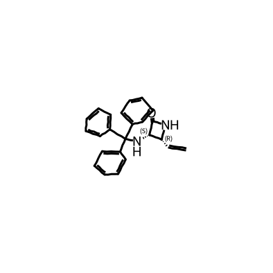 C=C[C@H]1NC(=O)[C@H]1NC(c1ccccc1)(c1ccccc1)c1ccccc1